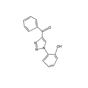 O=C(c1ccccc1)c1cn(-c2ccccc2O)nn1